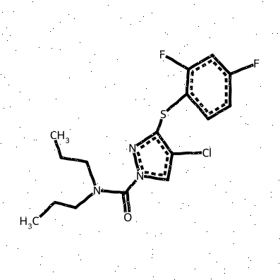 CCCN(CCC)C(=O)n1cc(Cl)c(Sc2ccc(F)cc2F)n1